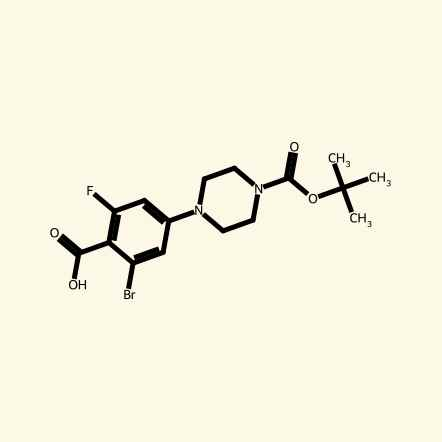 CC(C)(C)OC(=O)N1CCN(c2cc(F)c(C(=O)O)c(Br)c2)CC1